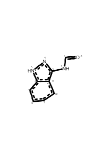 O=CNc1n[nH]c2ccccc12